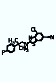 CC(C)(CNc1nc2c(Cl)cc(C#N)cc2s1)c1ccc(F)cc1